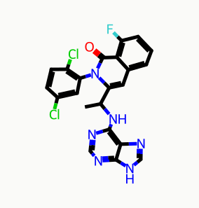 CC(Nc1ncnc2[nH]cnc12)c1cc2cccc(F)c2c(=O)n1-c1cc(Cl)ccc1Cl